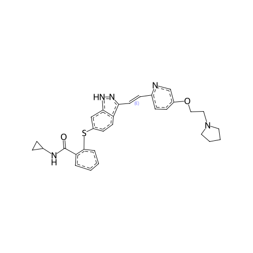 O=C(NC1CC1)c1ccccc1Sc1ccc2c(/C=C/c3ccc(OCCN4CCCC4)cn3)n[nH]c2c1